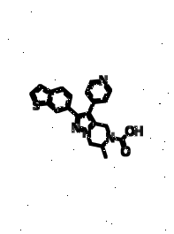 CC1Cn2nc(-c3ccc4ccsc4c3)c(-c3ccncc3)c2CN1C(=O)O